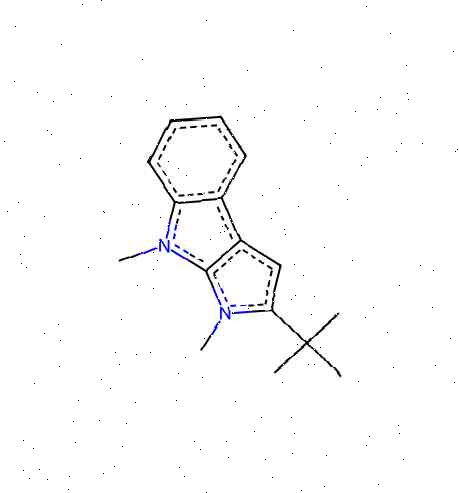 Cn1c(C(C)(C)C)cc2c3ccccc3n(C)c21